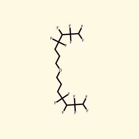 FC(F)C(F)(F)C(F)C(F)(F)CCCOCCCC(F)(F)C(F)C(F)(F)C(F)F